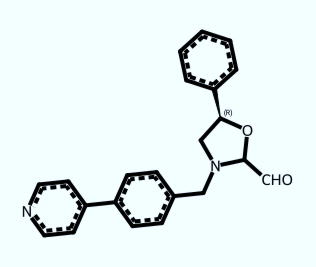 O=CC1O[C@H](c2ccccc2)CN1Cc1ccc(-c2ccncc2)cc1